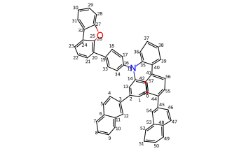 c1cc(-c2ccc3ccccc3c2)cc(N(c2ccc(-c3cccc4c3oc3ccccc34)cc2)c2ccccc2-c2ccc(-c3ccc4ccccc4c3)cc2)c1